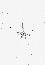 C=CCOC(=O)NCCO[C@H]1O[C@H](COC(C)=O)[C@@H](OC(C)=O)[C@H](OC(C)=O)[C@@H]1NC(=O)OCC=C